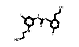 O=C(Nc1cc(F)cc(NCCO)c1)Nc1cc(F)ccc1CCO